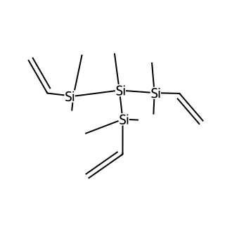 C=C[Si](C)(C)[Si](C)([Si](C)(C)C=C)[Si](C)(C)C=C